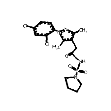 Cc1nn(-c2ccc(Cl)cc2Cl)c(C)c1CC(=O)NS(=O)(=O)N1CCCC1